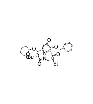 CCN1CN(C(=O)OC(C)(C)C)n2c(COC3CCCCO3)cc(=O)c(OCc3ccccc3)c2C1=O